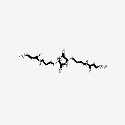 O=C(O)/C=C/C(=O)NCCCC[C@@H]1NC(=O)[C@H](CCCCNC(=O)/C=C/C(=O)O)NC1=O